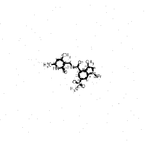 Cc1cc(C)c(CNC(=O)c2cc(S(C)(=O)=O)cc3c2c(C)cn3C(C)C)c(=O)[nH]1